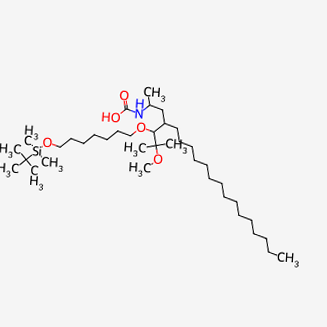 CCCCCCCCCCCCCCCC(CC(C)NC(=O)O)C(OCCCCCCCO[Si](C)(C)C(C)(C)C)C(C)(C)OC